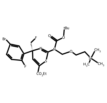 CCOC(=O)C1=C[C@@](CF)(c2cc(Br)ccc2F)N=C(N(COCC[Si](C)(C)C)C(=O)OC(C)(C)C)S1